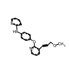 COCC#Cc1cccnc1Oc1ccc(Nc2ccccn2)cc1